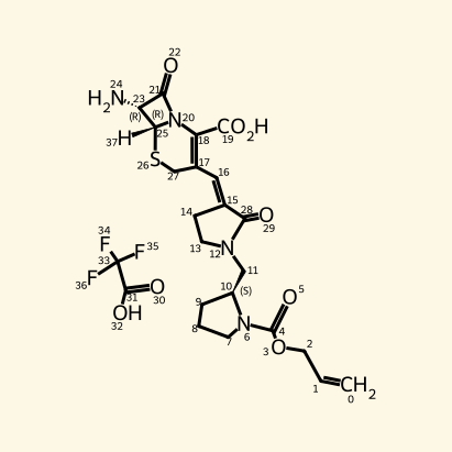 C=CCOC(=O)N1CCC[C@H]1CN1CCC(=CC2=C(C(=O)O)N3C(=O)[C@@H](N)[C@H]3SC2)C1=O.O=C(O)C(F)(F)F